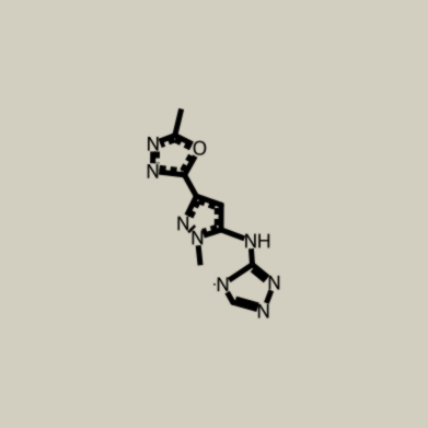 Cc1nnc(-c2cc(NC3=NN=C[N]3)n(C)n2)o1